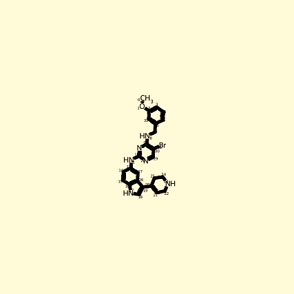 COc1cccc(CNc2nc(Nc3ccc4[nH]cc(C5=CCNCC5)c4c3)ncc2Br)c1